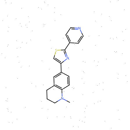 CN1CCCc2cc(-c3csc(-c4ccncc4)n3)ccc21